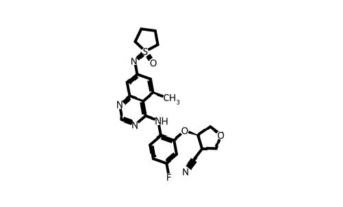 Cc1cc(N=S2(=O)CCCC2)cc2ncnc(Nc3ccc(F)cc3O[C@H]3COCC3C#N)c12